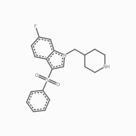 O=S(=O)(c1ccccc1)c1cn(CC2CCNCC2)c2cc(F)ccc12